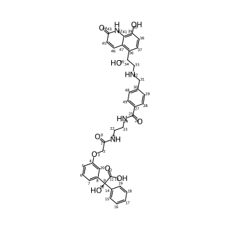 O=C(COc1cccc([C@](O)(C(=O)O)c2ccccc2)c1)NCCNC(=O)c1ccc(CNC[C@H](O)c2ccc(O)c3[nH]c(=O)ccc23)cc1